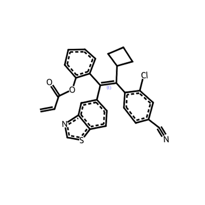 C=CC(=O)Oc1ccccc1/C(=C(/c1ccc(C#N)cc1Cl)C1CCC1)c1ccc2scnc2c1